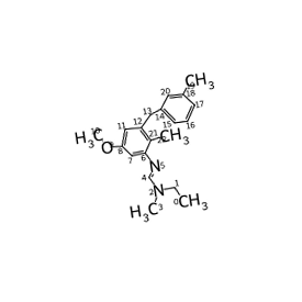 CCN(C)/C=N/c1cc(OC)cc(Cc2cccc(C)c2)c1C